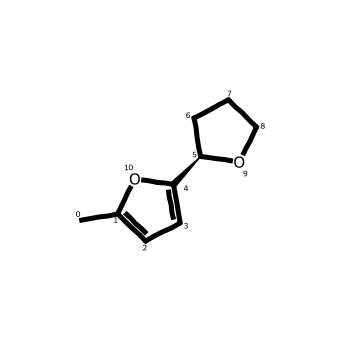 Cc1ccc([C@H]2CCCO2)o1